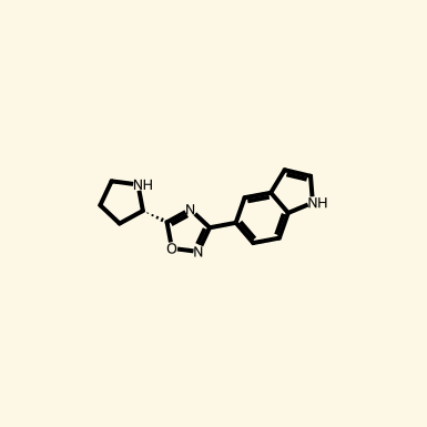 c1cc2cc(-c3noc([C@@H]4CCCN4)n3)ccc2[nH]1